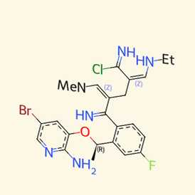 CCN/C=C(/C/C(=C/NC)C(=N)c1ccc(F)cc1[C@@H](C)Oc1cc(Br)cnc1N)C(=N)Cl